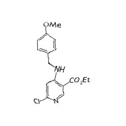 CCOC(=O)c1cnc(Cl)cc1NCc1ccc(OC)cc1